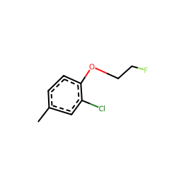 Cc1ccc(OCCF)c(Cl)c1